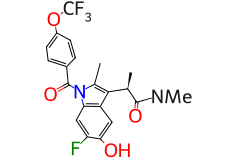 CNC(=O)[C@H](C)c1c(C)n(C(=O)c2ccc(OC(F)(F)F)cc2)c2cc(F)c(O)cc12